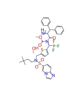 COC(=O)N(C(=O)[C@@H](N)C(c1ccccc1)c1ccccc1)[C@H](c1ccc([C@@H](CO)N(CCC(C)(C)C)S(=O)(=O)c2ccc3nccn3c2)s1)C(F)(F)F